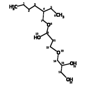 CCCCC(CC)COC(O)CCOCC(O)CO